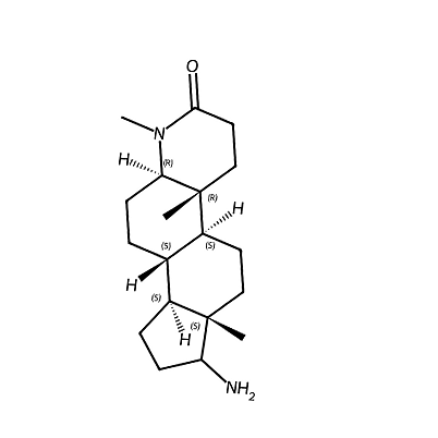 CN1C(=O)CC[C@]2(C)[C@H]3CC[C@]4(C)C(N)CC[C@H]4[C@@H]3CC[C@@H]12